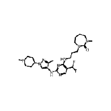 Cc1nn(C2CCN(C)CC2)cc1Nc1ncc(C(F)F)c(NCCCN2CCCCN(C)C2=O)n1